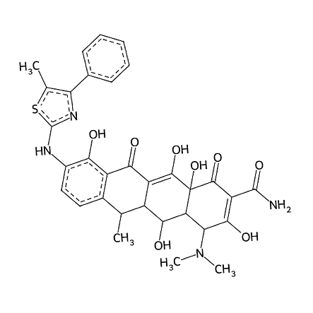 Cc1sc(Nc2ccc3c(c2O)C(=O)C2=C(O)C4(O)C(=O)C(C(N)=O)=C(O)C(N(C)C)C4C(O)C2C3C)nc1-c1ccccc1